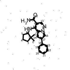 CC1(C)CCC[C@H]1Nc1c(C(N)=O)cnn2cc(-c3ccccc3)cc12